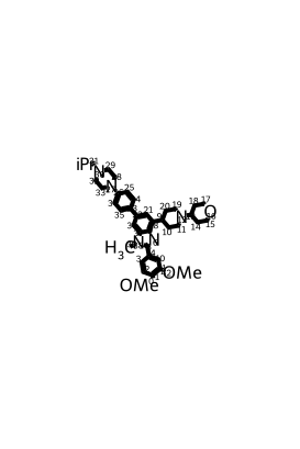 COc1ccc(-c2nc3c(C4CCN(C5CCOCC5)CC4)cc(-c4ccc(N5CCN(C(C)C)CC5)cc4)cc3n2C)cc1OC